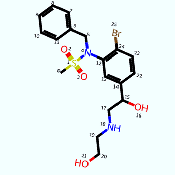 CS(=O)(=O)N(Cc1ccccc1)c1cc(C(O)CNCCO)ccc1Br